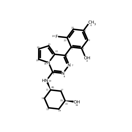 Cc1cc(O)c(-c2nnc(N[C@@H]3CCC[C@H](O)C3)n3cccc23)c(F)c1